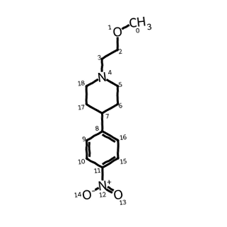 COCCN1CCC(c2ccc([N+](=O)[O-])cc2)CC1